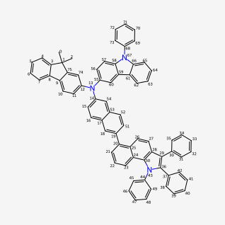 CC1(C)c2ccccc2-c2ccc(N(c3ccc4cc(-c5cccc6c5ccc5c(-c7ccccc7)c(-c7ccccc7)n(-c7ccccc7)c56)ccc4c3)c3ccc4c(c3)c3ccccc3n4-c3ccccc3)cc21